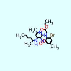 CCCCC(C)Nc1cc(C)nc(N(CC(=O)OCC)c2ccc(C)cc2Br)c1[N+](=O)[O-]